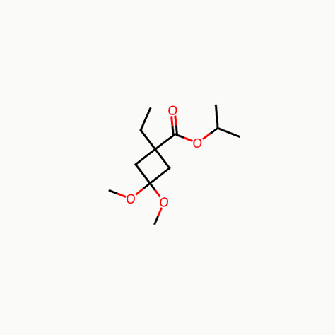 CCC1(C(=O)OC(C)C)CC(OC)(OC)C1